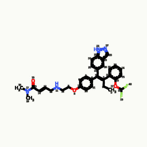 CCC(=C(c1ccc(OCCNCC=CC(=O)N(C)C)cc1)c1ccc2[nH]ncc2c1)c1ccccc1OC(F)F